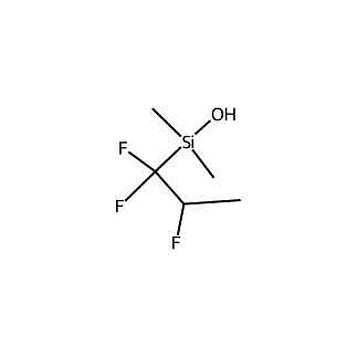 CC(F)C(F)(F)[Si](C)(C)O